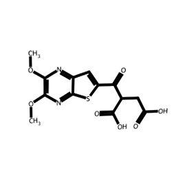 COc1nc2cc(C(=O)C(CC(=O)O)C(=O)O)sc2nc1OC